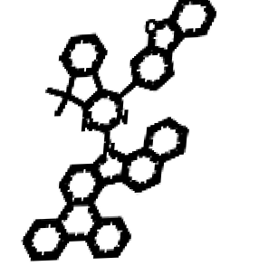 CC1(C)c2ccccc2-c2c(-c3ccc4c(c3)oc3ccccc34)nc(-n3c4ccc5c6ccccc6c6ccccc6c5c4c4ccc5ccccc5c43)nc21